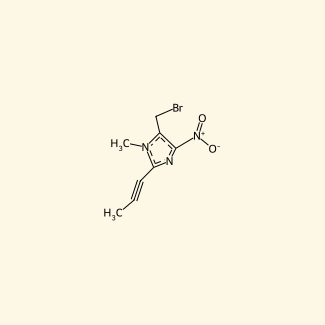 CC#Cc1nc([N+](=O)[O-])c(CBr)n1C